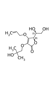 C=CCOC1=C(OCC(C)(C)O)C(=O)O[C@@H]1[C@@H](O)CO